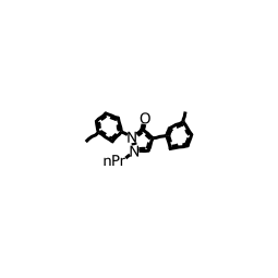 CCCn1cc(-c2cccc(C)c2)c(=O)n1-c1cccc(C)c1